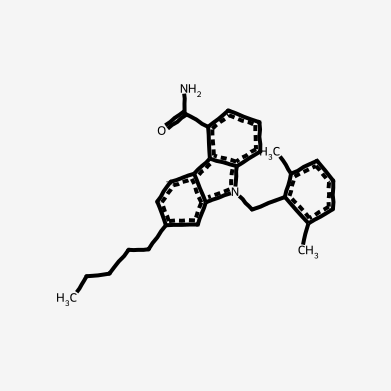 CCCCCc1c[c]c2c3c(C(N)=O)cccc3n(Cc3c(C)cccc3C)c2c1